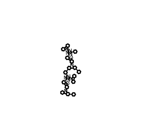 c1ccc(-c2ccc3c(c2)c2cc(-c4cccc(-c5nc(-c6cccc7c6oc6ccc(-n8c9ccccc9c9ccc(-c%10ccccc%10)cc98)cc67)nc(-n6c7ccccc7c7ccccc76)n5)c4)ccc2n3-c2ccc3oc4c(-c5nc(-c6ccccc6)nc(-n6c7ccccc7c7ccccc76)n5)cccc4c3c2)cc1